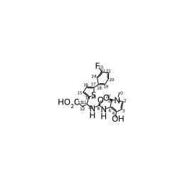 Cn1ccc(O)c(NC(=O)N[C@@H](CC(=O)O)c2ccc(-c3cccc(F)c3)s2)c1=O